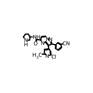 Cc1cc(-c2c(-c3cccc(C#N)c3)nn3ccc(C(=O)N[C@@H]4CCCNC4)nc23)cc(Cl)n1